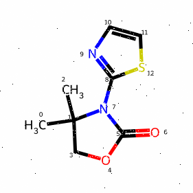 CC1(C)COC(=O)N1c1nccs1